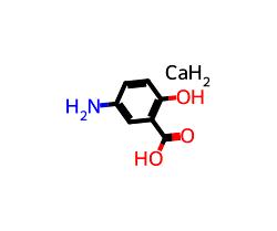 Nc1ccc(O)c(C(=O)O)c1.[CaH2]